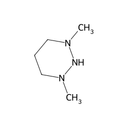 CN1CCCN(C)N1